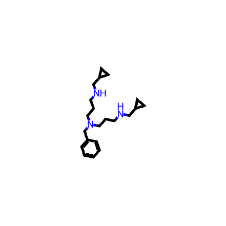 c1ccc(CN(CCCNCC2CC2)CCCNCC2CC2)cc1